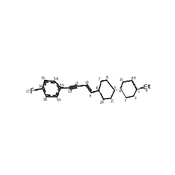 CC[C@H]1CC[C@H](C2CCC(C=CC#Cc3ccc(F)cc3)CC2)CC1